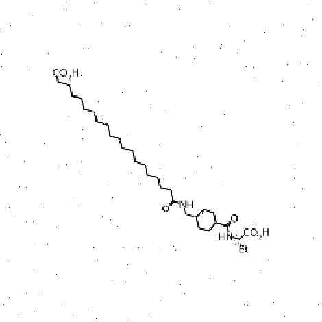 CC[C@H](NC(=O)C1CCC(CNC(=O)CCCCCCCCCCCCCCCCCCC(=O)O)CC1)C(=O)O